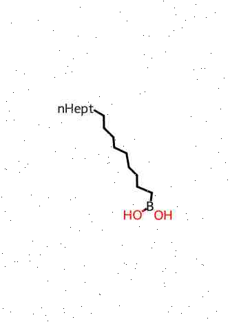 CCCCCCCCCCCCCCCCB(O)O